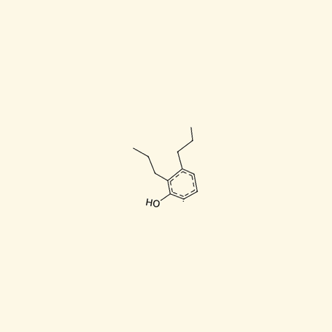 CCCc1cc[c]c(O)c1CCC